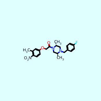 Cc1cc(OCC(=O)N2C[C@H](C)N(Cc3ccc(F)cc3)C[C@H]2C)ccc1[N+](=O)[O-]